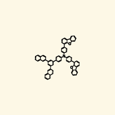 c1ccc2cc(-c3cc(-c4ccc(N(c5ccc(-c6cccc7c6oc6ccccc67)cc5)c5ccc(-c6cccc7c6oc6ccccc67)cc5)cc4)cc(-c4ccc5ccccc5c4)c3)ccc2c1